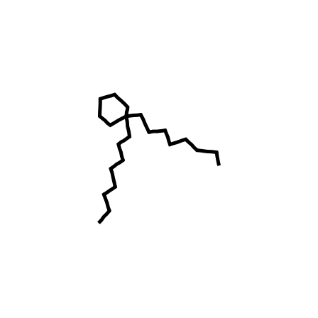 CCCCCCCCC1(CCCCCCCC)CCCCC1